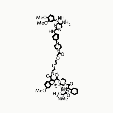 CN[C@@H](C)C(=O)NC(C(=O)N1CCN(C(=O)c2c(C(=O)NCCOCCOCC(=O)N3CCN(c4ccc(Nc5ncc(N)c(N(N)c6ccc(OC)c(OC)c6)n5)cc4)CC3)c3ccc(OC)cc3n2C)C[C@H]1C)C1CCCCC1